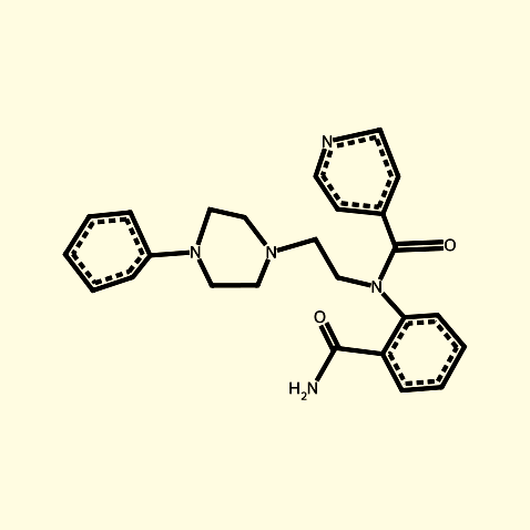 NC(=O)c1ccccc1N(CCN1CCN(c2ccccc2)CC1)C(=O)c1ccncc1